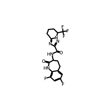 O=C(NC1CCc2cc(F)cc(F)c2NC1=O)c1nc2n(n1)C(C(F)(F)F)CCC2